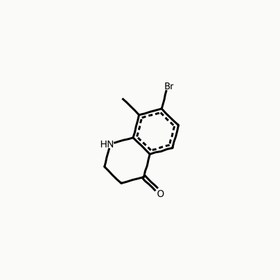 Cc1c(Br)ccc2c1NCCC2=O